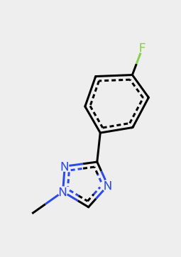 Cn1cnc(-c2ccc(F)cc2)n1